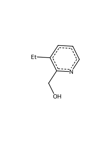 CCc1cccnc1CO